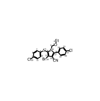 CCOCn1c(Sc2ccc(Cl)cc2)c(Br)c(C#N)c1-c1ccc(Cl)cc1